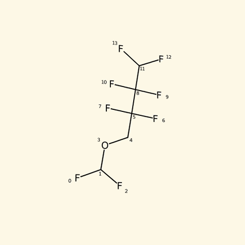 FC(F)OCC(F)(F)C(F)(F)C(F)F